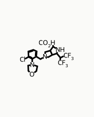 O=C(O)C1NC(C(C(F)(F)F)C(F)(F)F)C2CN(Cc3cccc(Cl)c3N3CCOCC3)CC12